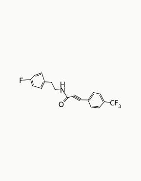 O=C(C#Cc1ccc(C(F)(F)F)cc1)NCCc1ccc(F)cc1